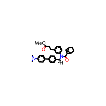 [2H]C(c1ccc(-c2ccc(N(C)C)cc2)cc1)N(C(=O)C1CC2CCC1C2)c1cccc(CCC(=O)OC)c1